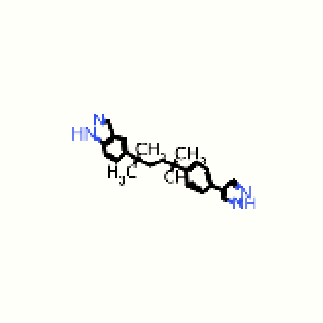 CC(C)(CCC(C)(C)c1ccc2[nH]ncc2c1)c1ccc(-c2cn[nH]c2)cc1